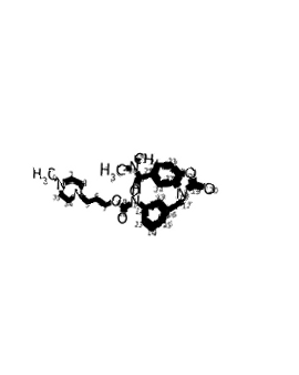 CN1CCN(CCCOC(=O)Nc2cccc(Cn3c(=O)oc4ccc(C(=O)N(C)C)cc43)c2)CC1